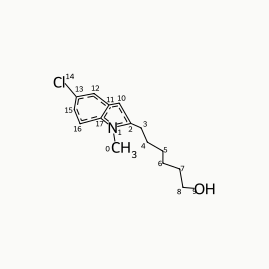 Cn1c(CCCCCCO)cc2cc(Cl)ccc21